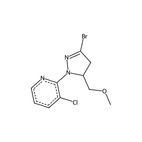 COCC1CC(Br)=NN1c1ncccc1Cl